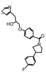 O=C(c1ccc(OCC(O)Cc2cscn2)cc1)N1CCC(c2ccc(F)cc2)C1